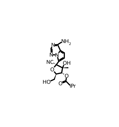 CC(C)C(=O)O[C@@H]1[C@@H](CO)O[C@@](C#N)(c2ccc3c(N)ncnn23)[C@]1(C)O